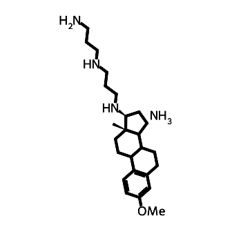 COc1ccc2c(c1)CCC1C2CC[C@@]2(C)C1CC[C@@H]2NCCCNCCCN.N